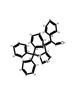 O=C/C(=C\c1cncn1C(c1ccccc1)(c1ccccc1)c1ccccc1)c1ccccc1